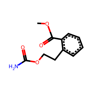 COC(=O)c1ccccc1CCOC(N)=O